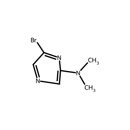 CN(C)c1cncc(Br)n1